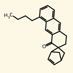 CCCCc1cccc2cc3c(cc12)C(=O)C1(CC3)CC2C=CC1C2